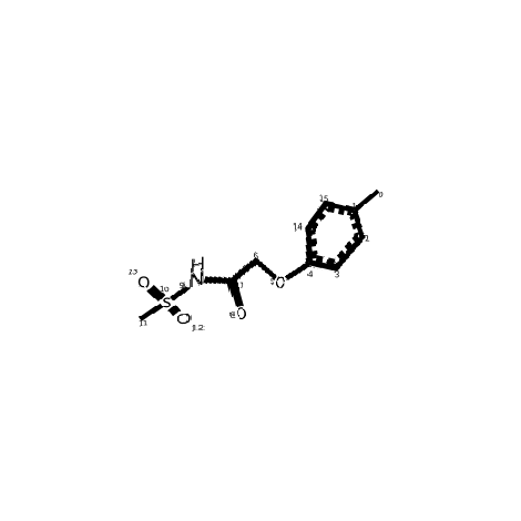 Cc1ccc(OCC(=O)NS(C)(=O)=O)cc1